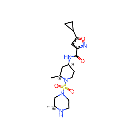 C[C@@H]1CN(S(=O)(=O)N2CC[C@H](NC(=O)c3cc(C4CC4)on3)C[C@@H]2C)CCN1